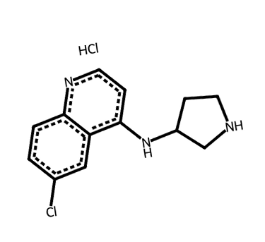 Cl.Clc1ccc2nccc(NC3CCNC3)c2c1